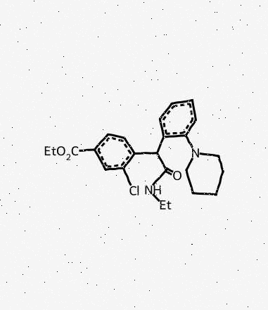 CCNC(=O)C(c1ccc(C(=O)OCC)cc1Cl)c1ccccc1N1CCCCC1